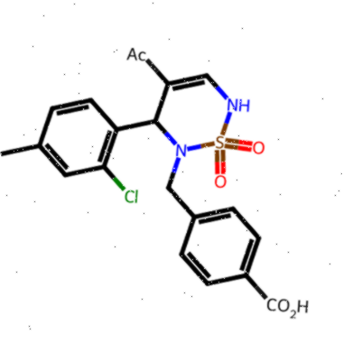 CC(=O)C1=CNS(=O)(=O)N(Cc2ccc(C(=O)O)cc2)C1c1ccc(C)cc1Cl